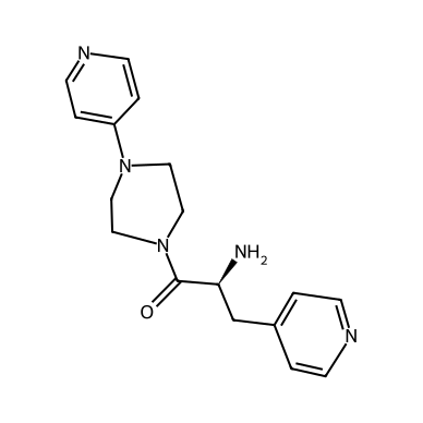 N[C@@H](Cc1ccncc1)C(=O)N1CCN(c2ccncc2)CC1